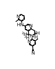 [2H]C1([2H])Cc2ncc(Nc3cccnc3C)cc2C([2H])([2H])N1c1ncc(C#N)cc1C